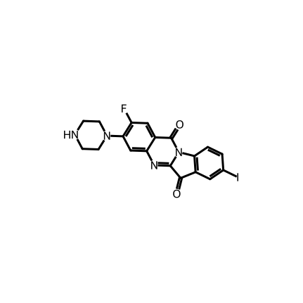 O=C1c2cc(I)ccc2-n2c1nc1cc(N3CCNCC3)c(F)cc1c2=O